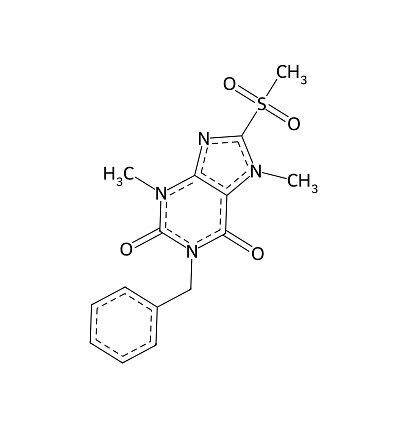 Cn1c(S(C)(=O)=O)nc2c1c(=O)n(Cc1ccccc1)c(=O)n2C